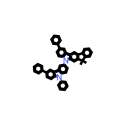 CC1(C)c2ccccc2-c2cc3c4cc(-c5ccccc5)ccc4n(-c4ccc5c(c4)c4cc(-c6ccccc6)ccc4n5-c4ccccc4)c3cc21